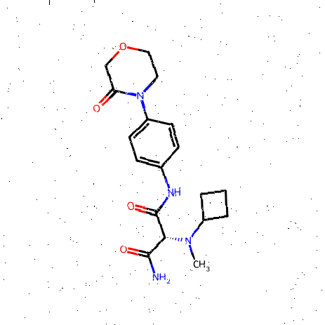 CN(C1CCC1)[C@H](C(N)=O)C(=O)Nc1ccc(N2CCOCC2=O)cc1